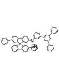 N#Cc1ccc2c(c1)C1(c3ccccc3-2)c2cc(-c3ccccc3)ccc2-c2ccc(N(c3ccccc3)c3cccc(-c4cc(-c5ccccc5)cc(-c5ccccc5)c4)c3)cc21